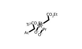 CC(C)[O-].CC(C)[O-].CCOC(=O)CC(C)=O.CCOC(=O)CC(C)=O.[Ti+2]